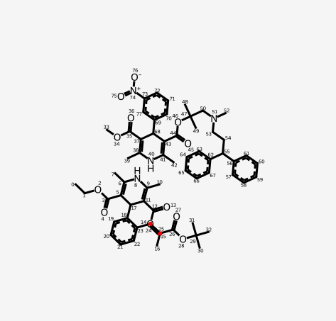 CCOC(=O)C1=C(C)NC(C)=C(C(=O)OCC)C1c1ccccc1/C=C/C(=O)OC(C)(C)C.COC(=O)C1=C(C)NC(C)=C(C(=O)OC(C)(C)CN(C)CCC(c2ccccc2)c2ccccc2)C1c1cccc([N+](=O)[O-])c1